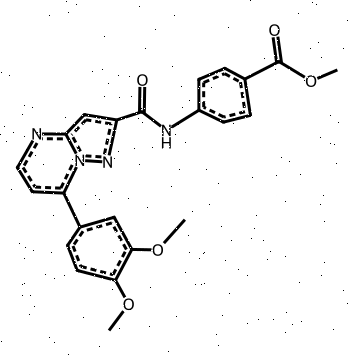 COC(=O)c1ccc(NC(=O)c2cc3nccc(-c4ccc(OC)c(OC)c4)n3n2)cc1